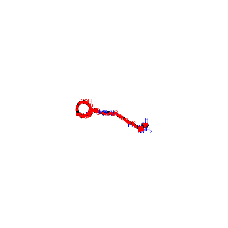 CO[C@H]1CC2CCCC(O2)C(=O)C(=O)N2CCCC[C@H]2C(=O)O[C@H](CC[C@H]2CC[C@H](OC(=O)NCc3cnc(N4CCN(c5ncc(C(=O)NCCOCCOCCOCCOCCC(=O)NCCCCn6nc(-c7cnc8[nH]ccc8c7)c7c(N)ncnc76)cn5)CC4)nc3)CC2)CC(=O)[C@H](C)/C=C(\C)[C@@H](O)CC(=O)[C@H](C)C[C@H](C)/C=C/C=C/C=C/1C